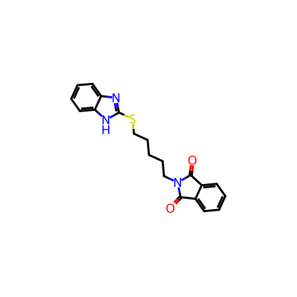 O=C1c2ccccc2C(=O)N1CCCCCSc1nc2ccccc2[nH]1